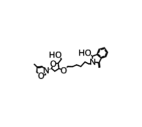 C=C1c2ccccc2[C@H](O)N1CCCCCCOC1C[C@H](N2C=C(C)COC2)OC1CO